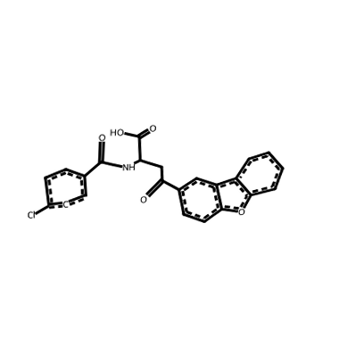 O=C(CC(NC(=O)c1ccc(Cl)cc1)C(=O)O)c1ccc2oc3ccccc3c2c1